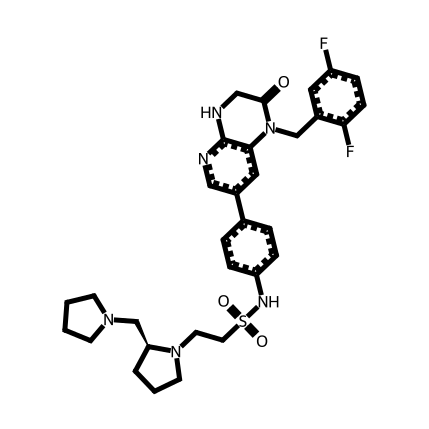 O=C1CNc2ncc(-c3ccc(NS(=O)(=O)CCN4CCC[C@H]4CN4CCCC4)cc3)cc2N1Cc1cc(F)ccc1F